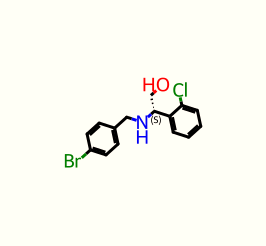 OC[C@@H](NCc1ccc(Br)cc1)c1ccccc1Cl